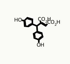 O=C(O)C=C(C(=O)O)C(c1ccc(O)cc1)c1ccc(O)cc1